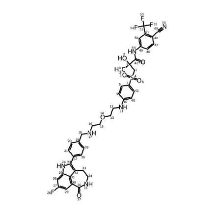 C[C@](O)(CS(=O)(=O)c1ccc(NCCOCCNCc2ccc(-c3[nH]c4cc(F)cc5c4c3CCNC5=O)cc2)cc1)C(=O)Nc1ccc(C#N)c(C(F)(F)F)c1